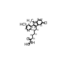 Cl.Cn1c(-c2cccnc2)c(CCCCCC(=O)NO)c2cc(Cl)ccc21